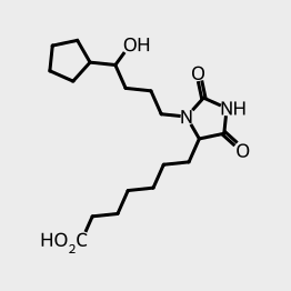 O=C(O)CCCCCCC1C(=O)NC(=O)N1CCCC(O)C1CCCC1